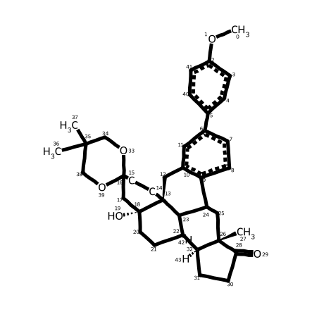 COc1ccc(-c2ccc3c(c2)C[C@]24CCC5(C[C@]2(O)CC[C@@H]2C4C3C[C@]3(C)C(=O)CC[C@@H]23)OCC(C)(C)CO5)cc1